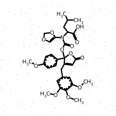 COc1ccc(C2(OC(=O)N(C3=COCO3)C(CC(C)C)C(=O)O)OC(=O)C=C2Cc2cc(OC)c(OC)c(OC)c2)cc1